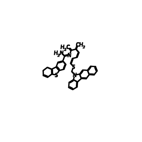 C=C(/C=C\C=C/SCn1c2ccccc2c2cc3ccccc3cc21)C(=C)/N=C(\N)c1ccc2sc3c(c2c1)CCC=C3